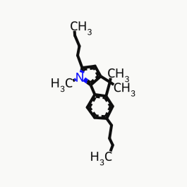 CCCCc1ccc2c(c1)C(C)(C)c1cc(CCCC)n(C)c1-2